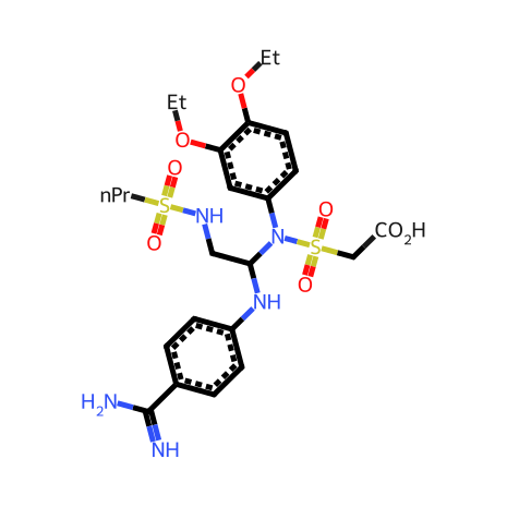 CCCS(=O)(=O)NCC(Nc1ccc(C(=N)N)cc1)N(c1ccc(OCC)c(OCC)c1)S(=O)(=O)CC(=O)O